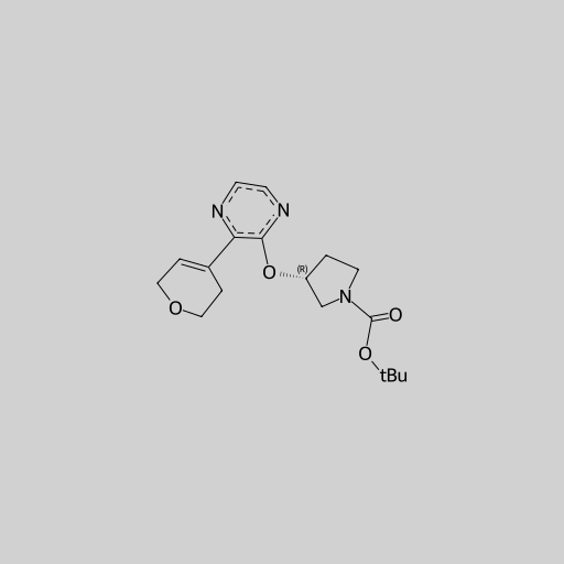 CC(C)(C)OC(=O)N1CC[C@@H](Oc2nccnc2C2=CCOCC2)C1